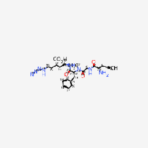 C#CC[C@H](N)C(=O)NCC(=O)N(C)[C@@H](Cc1ccccc1)C(=O)N[C@H](CCCCNN=[N+]=[N-])C(=O)O